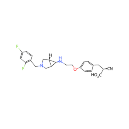 N#C[C@H](Cc1ccc(OCCN[C@H]2C3CN(Cc4ccc(F)cc4F)C[C@@H]32)cc1)C(=O)O